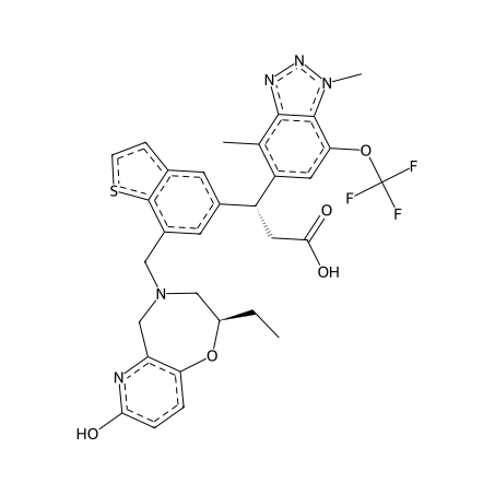 CC[C@@H]1CN(Cc2cc([C@@H](CC(=O)O)c3cc(OC(F)(F)F)c4c(nnn4C)c3C)cc3ccsc23)Cc2nc(O)ccc2O1